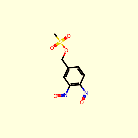 CS(=O)(=O)OCc1ccc(N=O)c(N=O)c1